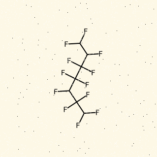 FC(F)C(F)C(F)(F)C(F)(F)C(F)C(F)(F)C(F)F